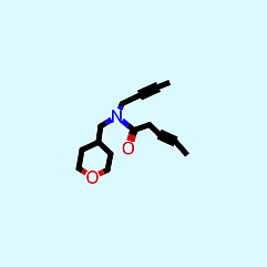 CC#CCC(=O)N(CC#CC)CC1CCOCC1